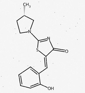 C[C@H]1CCN(C2=NC(=O)/C(=C/c3ccccc3O)S2)C1